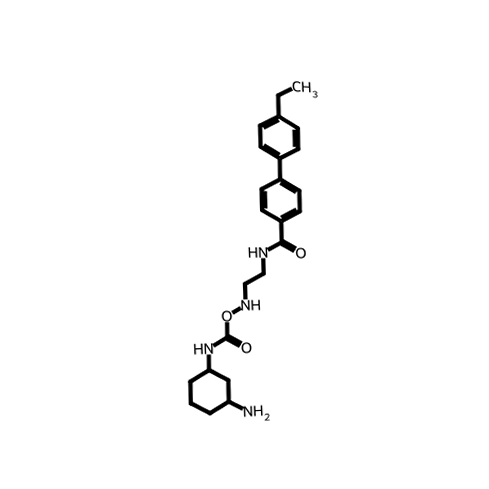 CCc1ccc(-c2ccc(C(=O)NCCNOC(=O)NC3CCCC(N)C3)cc2)cc1